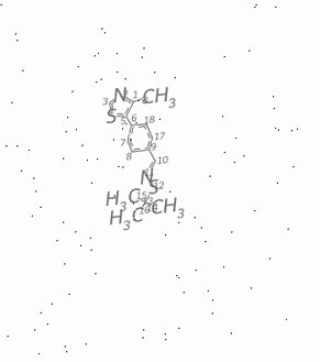 Cc1ncsc1-c1ccc(/C=N/SC(C)(C)C)cc1